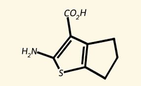 Nc1sc2c(c1C(=O)O)CCC2